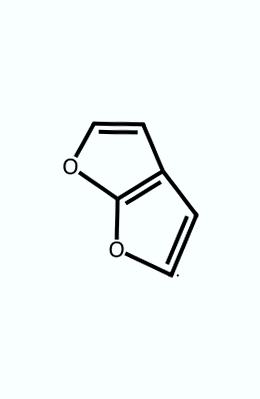 [c]1cc2ccoc2o1